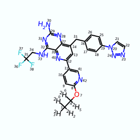 [2H]C([2H])([2H])C([2H])([2H])Oc1ccc(-c2cc(Cc3ccc(-n4ccnn4)cc3)c3nc(N)nc(NCC(F)(F)F)c3n2)cn1